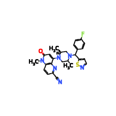 CC1CN(c2cc(=O)n(C)c3ccc(C#N)nc23)[C@@H](C)CN1C(c1ccc(F)cc1)c1ccns1